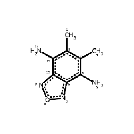 Cc1c(C)c(N)c2nonc2c1N